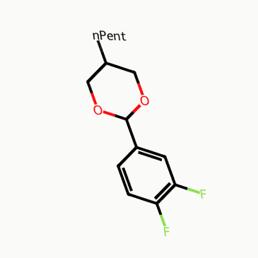 CCCCCC1COC(c2ccc(F)c(F)c2)OC1